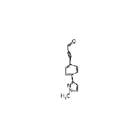 Cn1ccc(-c2ccc(C#CC=O)cc2)n1